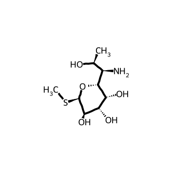 CS[C@H]1O[C@H]([C@H](N)[C@H](C)O)[C@H](O)[C@H](O)[C@H]1O